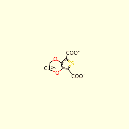 O=C([O-])c1sc(C(=O)[O-])c2c1OCCO2.[Cu+2]